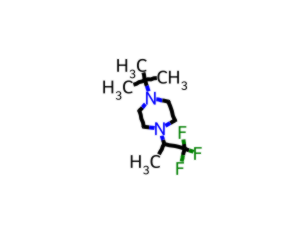 CC(N1CCN(C(C)(C)C)CC1)C(F)(F)F